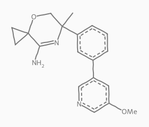 COc1cncc(-c2cccc(C3(C)COC4(CC4)C(N)=N3)c2)c1